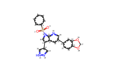 O=S(=O)(c1ccccc1)n1cc(-c2cn[nH]c2)c2cc(-c3ccc4c(c3)OCO4)cnc21